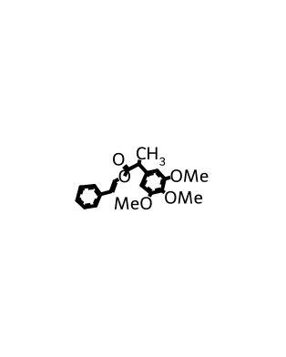 COc1cc(C(C)C(=O)OC=Cc2ccccc2)cc(OC)c1OC